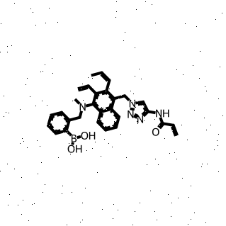 C=CC(=O)Nc1cn(Cc2c(/C=C\C)c(C=C)c(N(C)Cc3ccccc3B(O)O)c3ccccc23)nn1